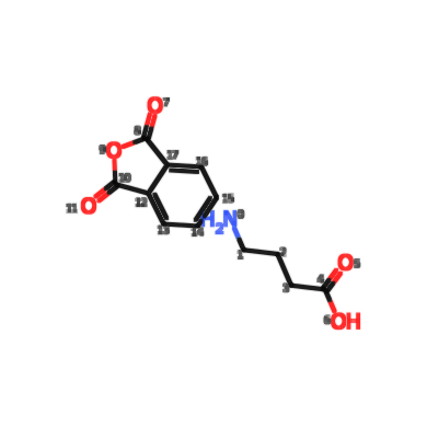 NCCCC(=O)O.O=C1OC(=O)c2ccccc21